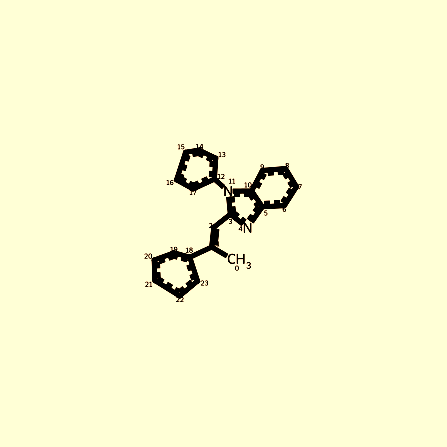 CC(=Cc1nc2ccccc2n1-c1ccccc1)c1ccccc1